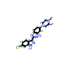 C[C@H]1CN(c2ccc3nc(-c4n[nH]c5cc(Cl)ccc45)[nH]c3c2)CCN1C